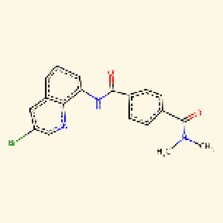 CN(C)C(=O)c1ccc(C(=O)Nc2cccc3cc(Br)cnc23)cc1